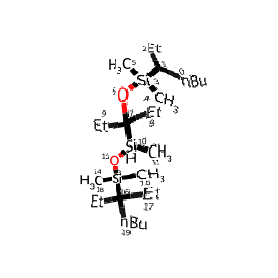 CCCCC(CC)[Si](C)(C)OC(CC)(CC)[SiH](C)O[Si](C)(C)C(CC)(CC)CCCC